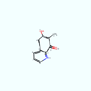 CC1=C(O)Cc2cccnc2C1=O